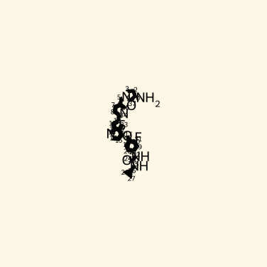 N[C@@H]1CCN(Cc2ccc(-c3cc4nccc(Oc5ccc(NC(=O)NC6CC6)cc5F)c4s3)nc2)C1=O